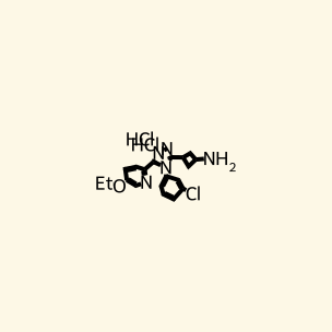 CCOc1ccc(-c2nnc(C3CC(N)C3)n2-c2cccc(Cl)c2)nc1.Cl.Cl